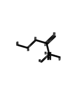 C=C(CCC)[SiH](C)C